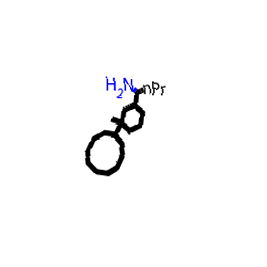 CCCC(N)C1CCCC(C)(C2CCCCCCCCC2)C1